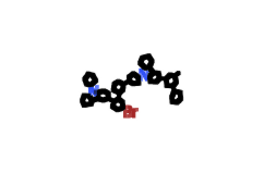 Cc1cc(-c2ccccc2)cc(-c2ccc3c(c2)c2ccccc2n3-c2ccc(-c3cccc(-c4cc(Br)ccc4-c4ccc5c(c4)c4ccccc4n5-c4ccccc4)c3)cc2)c1